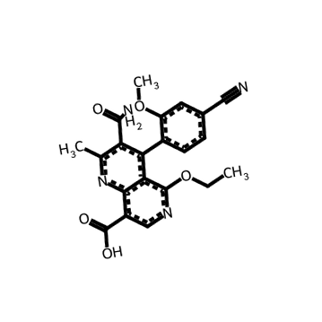 CCOc1ncc(C(=O)O)c2nc(C)c(C(N)=O)c(-c3ccc(C#N)cc3OC)c12